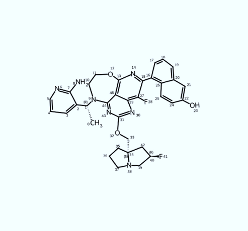 C[C@H](c1cccnc1N)N1CCOc2nc(-c3cccc4cc(O)ccc34)c(F)c3nc(OC[C@@]45CCCN4C[C@H](F)C5)nc1c23